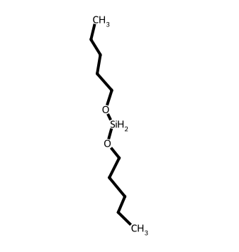 CCCCCO[SiH2]OCCCCC